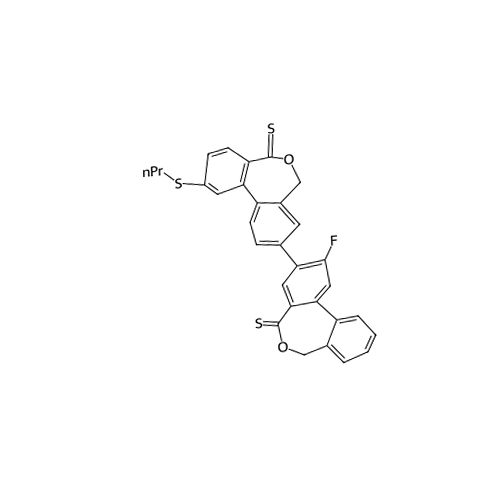 CCCSc1ccc2c(c1)-c1ccc(-c3cc4c(cc3F)-c3ccccc3COC4=S)cc1COC2=S